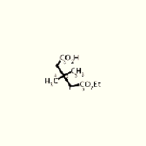 CCOC(=O)CC(C)(C)CC(=O)O